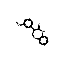 COc1cccc(C2CSc3ccccc3NC2=O)c1